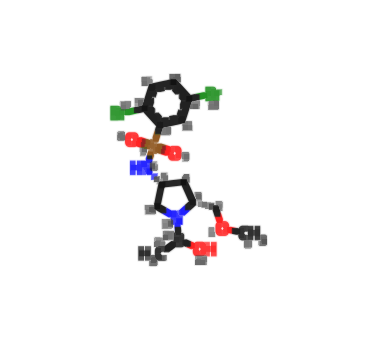 COC[C@H]1C[C@@H](NS(=O)(=O)c2cc(Br)ccc2Br)CN1B(C)O